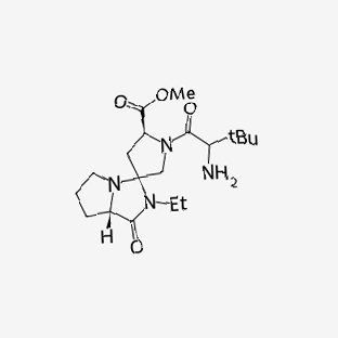 CCN1C(=O)[C@@H]2CCCN2C12C[C@@H](C(=O)OC)N(C(=O)C(N)C(C)(C)C)C2